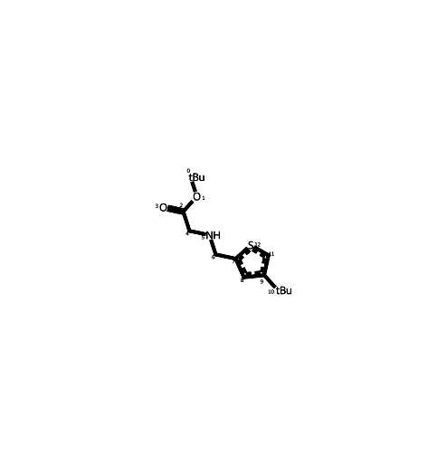 CC(C)(C)OC(=O)CNCc1cc(C(C)(C)C)cs1